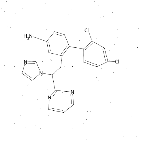 Nc1ccc(-c2ccc(Cl)cc2Cl)c(CC(c2ncccn2)n2ccnc2)c1